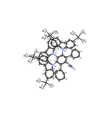 Cc1ccc2c(c1)c1cc(C)ccc1n2-c1c(-n2c3ccc(C(C)(C)C)cc3c3cc(C(C)(C)C)ccc32)c(-c2ccccc2)c(C#N)c(-c2ccccc2)c1-n1c2ccc(C(C)(C)C)cc2c2cc(C(C)(C)C)ccc21